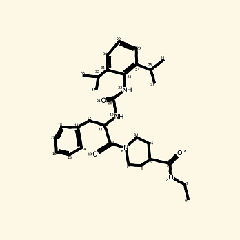 CCOC(=O)C1CCN(C(=O)C(Cc2ccccc2)NC(=O)Nc2c(C(C)C)cccc2C(C)C)CC1